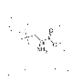 COC(=O)[C@@H](N)CC(C)(C)C